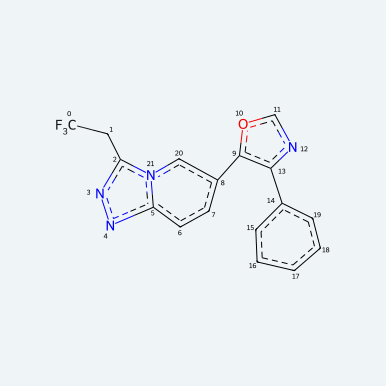 FC(F)(F)Cc1nnc2ccc(-c3ocnc3-c3ccccc3)cn12